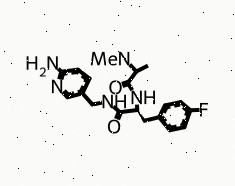 CNC(C)C(=O)N[C@@H](Cc1ccc(F)cc1)C(=O)NCc1ccc(N)nc1